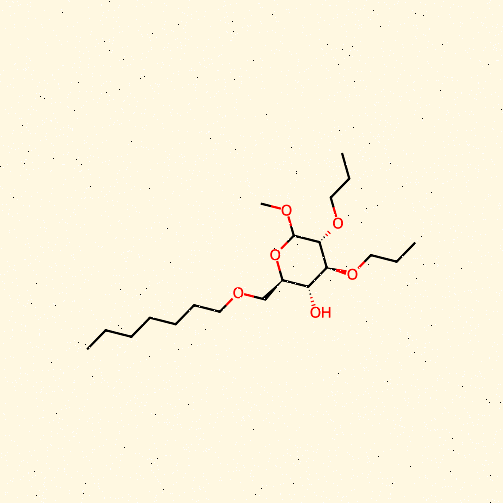 CCCCCCCOC[C@H]1OC(OC)[C@H](OCCC)[C@@H](OCCC)[C@@H]1O